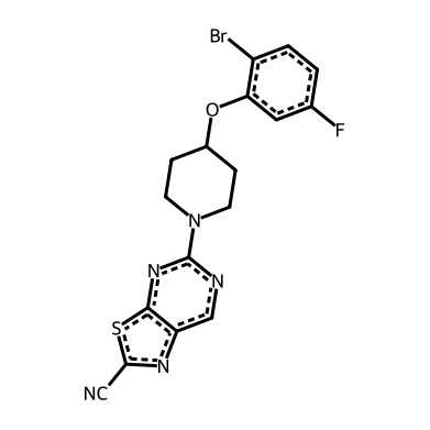 N#Cc1nc2cnc(N3CCC(Oc4cc(F)ccc4Br)CC3)nc2s1